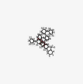 CC1(C)c2ccccc2-c2ccc(N(c3ccc(-c4ccccc4)cc3)c3cccc(-c4ccccc4-c4ccccc4)c3-c3ccccc3-c3ccccc3)cc21